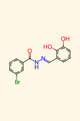 O=C(NN=Cc1cccc(O)c1O)c1cccc(Br)c1